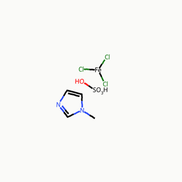 Cn1ccnc1.O=S(=O)(O)O.[Cl][Fe]([Cl])[Cl]